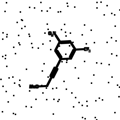 COCC#Cc1cc([N+](=O)[O-])cc(C(F)(F)F)c1